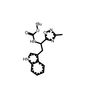 Cc1noc(C(Cc2c[nH]c3ccccc23)NC(=O)OC(C)(C)C)n1